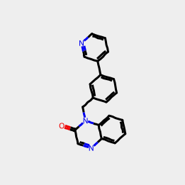 O=c1cnc2ccccc2n1Cc1cccc(-c2cccnc2)c1